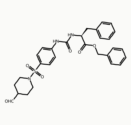 O=CC1CCN(S(=O)(=O)c2ccc(NC(=O)N[C@@H](Cc3ccccc3)C(=O)OCc3ccccc3)cc2)CC1